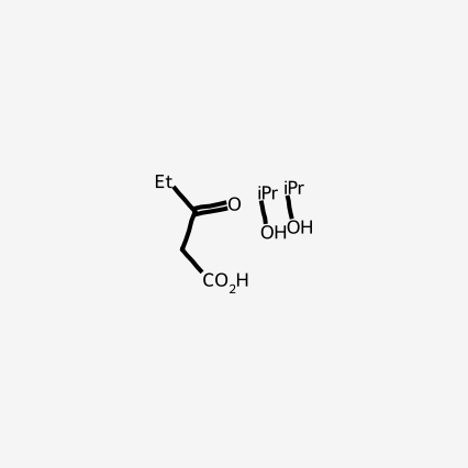 CC(C)O.CC(C)O.CCC(=O)CC(=O)O